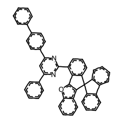 c1ccc(-c2ccc(-c3cc(-c4ccccc4)nc(-c4cccc5c4-c4oc6ccccc6c4C54c5ccccc5-c5ccccc54)n3)cc2)cc1